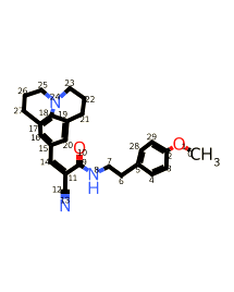 COc1ccc(CCNC(=O)/C(C#N)=C\c2cc3c4c(c2)CCCN4CCC3)cc1